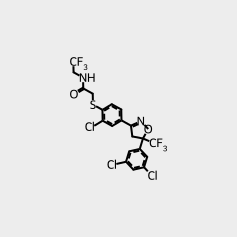 O=C(CSc1ccc(C2=NOC(c3cc(Cl)cc(Cl)c3)(C(F)(F)F)C2)cc1Cl)NCC(F)(F)F